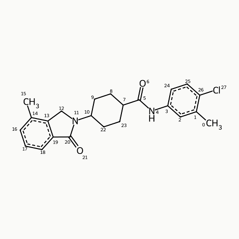 Cc1cc(NC(=O)C2CCC(N3Cc4c(C)cccc4C3=O)CC2)ccc1Cl